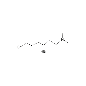 Br.CN(C)CCCCCCBr